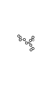 c1cc(-c2cccc(N(c3ccc(-c4cccc5ccccc45)cc3)c3ccc4c(c3)oc3ccccc34)c2)cc(-c2cccc3c2sc2ccccc23)c1